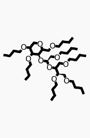 CCCCOCC1OCC(OCCCC)C(OCCCC)[C@@H]1O[C@@H](COCCCC)OC(COCCCC)[C@@H](COCCCC)OCCCC